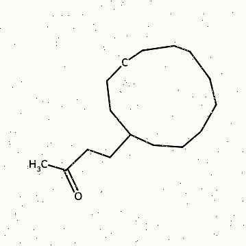 CC(=O)CCC1CCCCCCCCCCC1